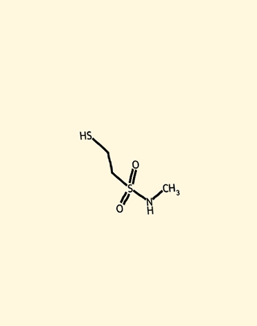 CNS(=O)(=O)CCS